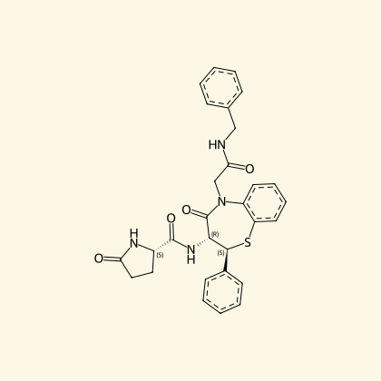 O=C(CN1C(=O)[C@@H](NC(=O)[C@@H]2CCC(=O)N2)[C@H](c2ccccc2)Sc2ccccc21)NCc1ccccc1